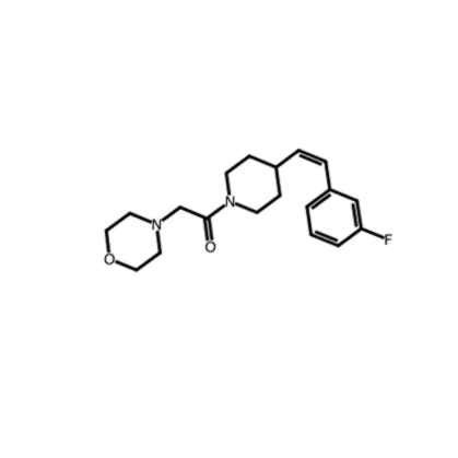 O=C(CN1CCOCC1)N1CCC(/C=C\c2cccc(F)c2)CC1